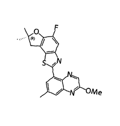 [CH2][C@@]1(C)Cc2c(c(F)cc3nc(-c4cc(C)cc5nc(OC)cnc45)sc23)O1